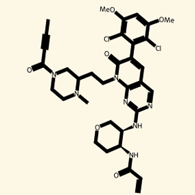 C=CC(=O)N[C@H]1CCOC[C@H]1Nc1ncc2cc(-c3c(Cl)c(OC)cc(OC)c3Cl)c(=O)n(CCC3CN(C(=O)C#CC)CCN3C)c2n1